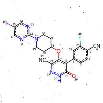 N#Cc1ccc(-c2c(OC3CCN(c4ncc(I)cn4)CC3)c(C#N)n[nH]c2=O)cc1F